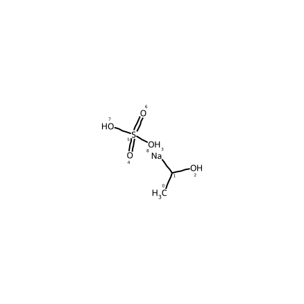 C[CH](O)[Na].O=S(=O)(O)O